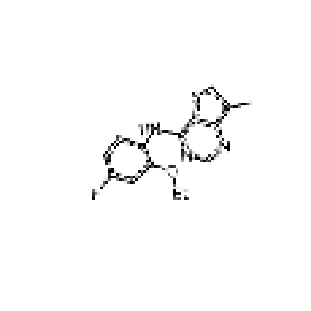 CCOc1cc(F)ccc1Nc1ncnc2c(C)csc12